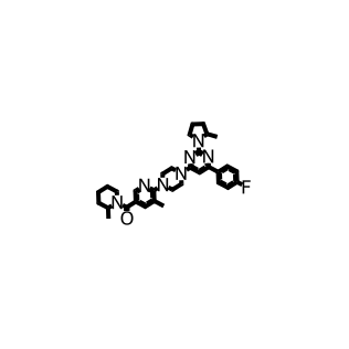 Cc1cc(C(=O)N2CCCCC2C)cnc1N1CCN(c2cc(-c3ccc(F)cc3)nc(N3CCCC3C)n2)CC1